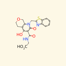 O=C(O)CNC(=O)c1c(O)c2c(n(Cc3nc4ccccc4s3)c1=O)COCC2